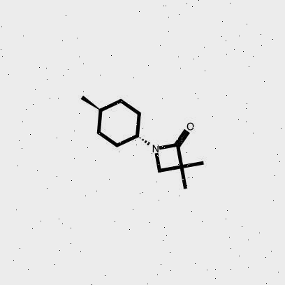 CC1(C)CN([C@H]2CC[C@H](C)CC2)C1=O